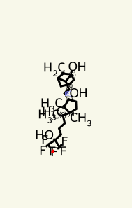 C=C1C2C[C@@H](O)C[C@]1(O)C2/C=C/[C@@H]1CC[C@](C)([C@@H](C)CCCC(O)(C(F)(F)F)C(F)(F)F)C1(C)C